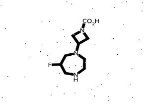 O=C(O)N1CC(N2CCNCC(F)C2)C1